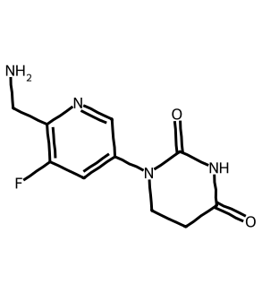 NCc1ncc(N2CCC(=O)NC2=O)cc1F